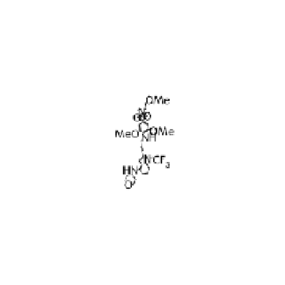 COCCN(C)S(=O)(=O)c1cc(OC)c(NCC#Cc2cc3c(NC4CCOCC4)cccc3n2CC(F)(F)F)c(OC)c1